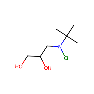 CC(C)(C)N(Cl)CC(O)CO